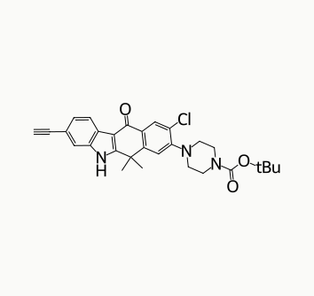 C#Cc1ccc2c3c([nH]c2c1)C(C)(C)c1cc(N2CCN(C(=O)OC(C)(C)C)CC2)c(Cl)cc1C3=O